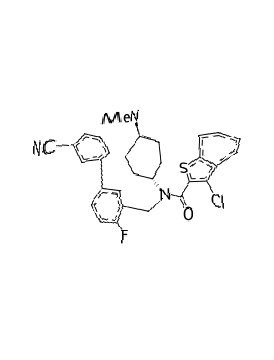 CN[C@H]1CC[C@H](N(Cc2cc(-c3cccc(C#N)c3)ccc2F)C(=O)c2sc3ccccc3c2Cl)CC1